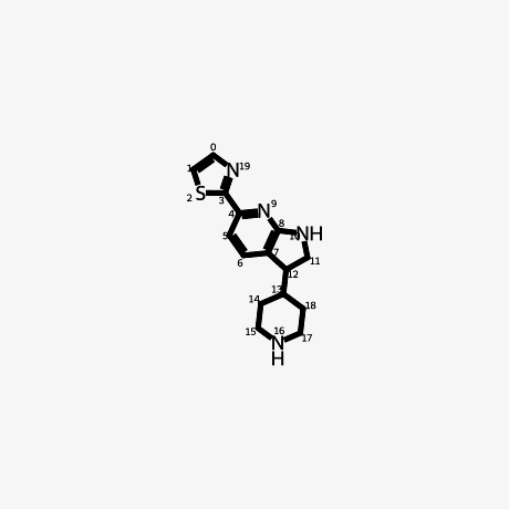 c1csc(-c2ccc3c(n2)NCC3C2CCNCC2)n1